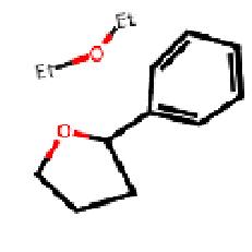 CCOCC.c1ccc(C2CCCO2)cc1